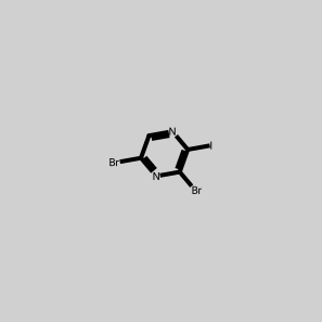 Brc1cnc(I)c(Br)n1